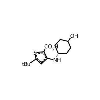 CC(C)(C)c1cc(N[C@H]2CC[C@H](O)CC2)c(C(=O)O)s1